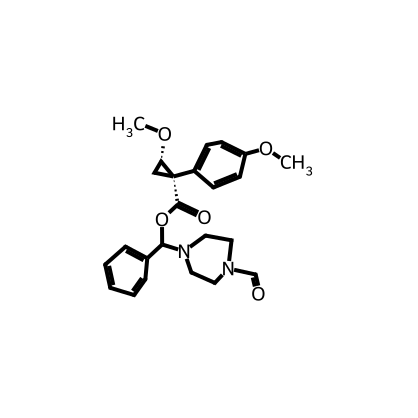 COc1ccc([C@@]2(C(=O)OC(c3ccccc3)N3CCN(C=O)CC3)C[C@@H]2OC)cc1